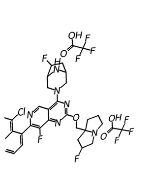 Fc1c(-c2cccc3cccc(Cl)c23)ncc2c(N3CC4CC(F)C(C3)N4)nc(OCC34CCCN3CC(F)C4)nc12.O=C(O)C(F)(F)F.O=C(O)C(F)(F)F